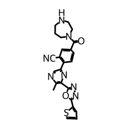 Cc1ncc(-c2ccc(C(=O)N3CCCNCC3)cc2C#N)nc1-c1nnc(-c2cccs2)o1